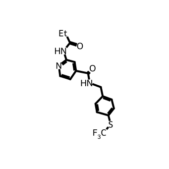 CCC(=O)Nc1cc(C(=O)NCc2ccc(SC(F)(F)F)cc2)ccn1